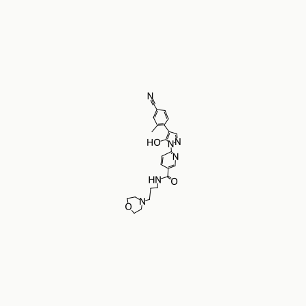 Cc1cc(C#N)ccc1-c1cnn(-c2ccc(C(=O)NCCCN3CCOCC3)cn2)c1O